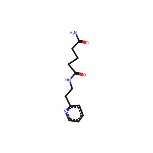 NC(=O)CCCC(=O)NC[CH]c1ccccn1